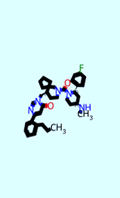 CCCc1ccccc1-c1cc(=O)n(C[C@@H]2CCN(C(=O)N3CC[C@@H](NC)C[C@H]3c3ccc(F)cc3)CC23CCCC3)cn1